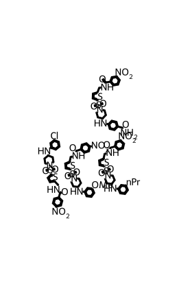 CCCc1cccc(NC2CCN(S(=O)(=O)c3ccc(CNC(=O)c4cccc([N+](=O)[O-])c4)s3)CC2)c1.COc1cccc(NC2CCN(S(=O)(=O)c3ccc(CNC(=O)c4ccc([N+](=O)[O-])cc4)s3)CC2)c1.NC(=O)c1ccc(NC2CCN(S(=O)(=O)c3ccc(CNC(=O)c4cccc([N+](=O)[O-])c4)s3)CC2)cc1.O=C(NCc1ccc(S(=O)(=O)N2CCC(Nc3cccc(Cl)c3)CC2)s1)c1ccc([N+](=O)[O-])cc1